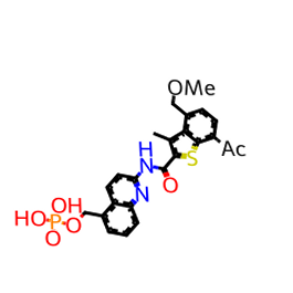 COCc1ccc(C(C)=O)c2sc(C(=O)Nc3ccc4c(COP(=O)(O)O)cccc4n3)c(C)c12